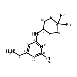 NCc1cc(NC2CCC(F)(F)CC2)nc(Cl)n1